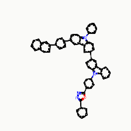 c1ccc(-c2nnc(-c3ccc(-n4c5ccccc5c5cc(-c6ccc7c(c6)c6cc(-c8ccc(-c9ccc%10ccccc%10c9)cc8)ccc6n7-c6ccccc6)ccc54)cc3)o2)cc1